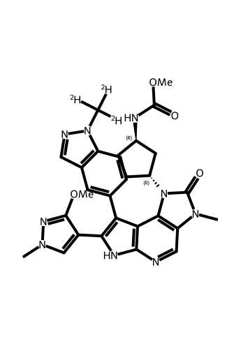 [2H]C([2H])([2H])n1ncc2cc(-c3c(-c4cn(C)nc4OC)[nH]c4ncc5c(c34)n([C@@H]3CC[C@@H](NC(=O)OC)C3)c(=O)n5C)ccc21